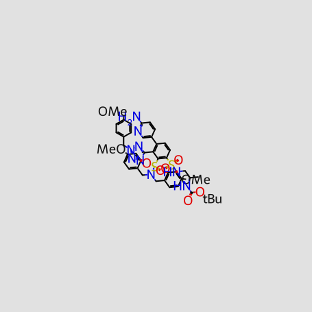 COc1ccc(CN(Cc2ccc(OC)cc2)S(=O)(=O)c2c(S(=O)(=O)NCC(C)NC(=O)OC(C)(C)C)ccc(-c3ccc(N)nc3)c2-c2nnn(Cc3ccc(OC)cc3)n2)cc1